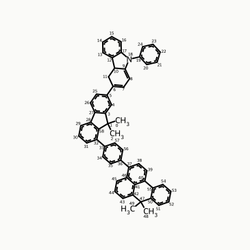 CC1(C)c2cc(C3=CC=C4C(C3)c3ccccc3N4c3ccccc3)ccc2-c2cccc(-c3ccc(-c4ccc5c6c(cccc46)C(C)(C)c4ccccc4-5)cc3)c21